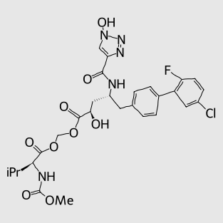 COC(=O)N[C@H](C(=O)OCOC(=O)[C@H](O)C[C@@H](Cc1ccc(-c2cc(Cl)ccc2F)cc1)NC(=O)c1cn(O)nn1)C(C)C